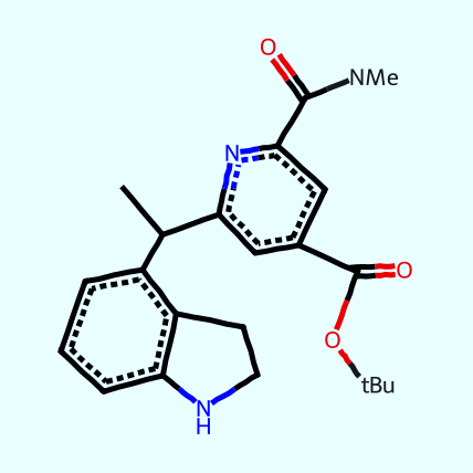 CNC(=O)c1cc(C(=O)OC(C)(C)C)cc(C(C)c2cccc3c2CCN3)n1